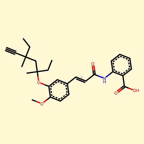 C#CC(C)(CC)CC(C)(CC)Oc1cc(/C=C/C(=O)Nc2ccccc2C(=O)O)ccc1OC